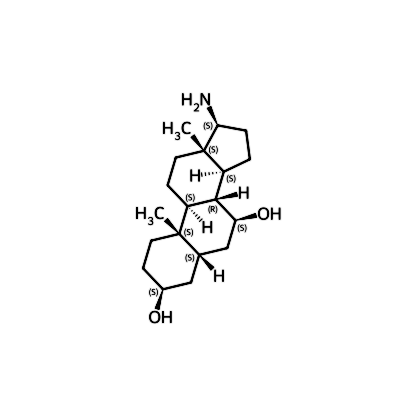 C[C@]12CC[C@H](O)C[C@H]1C[C@H](O)[C@@H]1[C@@H]2CC[C@]2(C)[C@@H](N)CC[C@@H]12